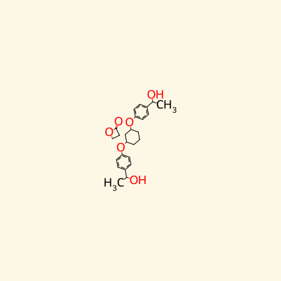 CC(O)c1ccc(OC2CCCC(Oc3ccc(C(C)O)cc3)C2)cc1.O=C1CCO1